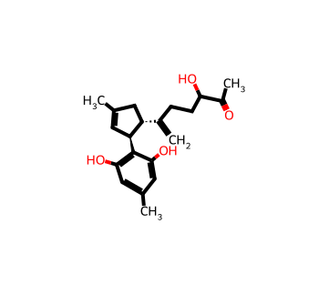 C=C(CCC(O)C(C)=O)[C@H]1CC(C)=C[C@@H]1c1c(O)cc(C)cc1O